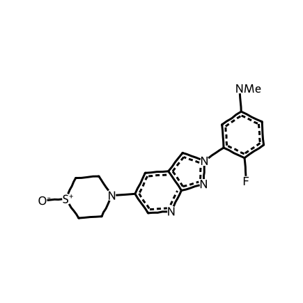 CNc1ccc(F)c(-n2cc3cc(N4CC[S+]([O-])CC4)cnc3n2)c1